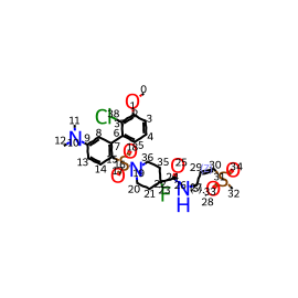 COc1cccc(-c2cc(N(C)C)ccc2S(=O)(=O)N2CCC(F)(C(=O)N[C@@H](C)/C=C\S(C)(=O)=O)CC2)c1Cl